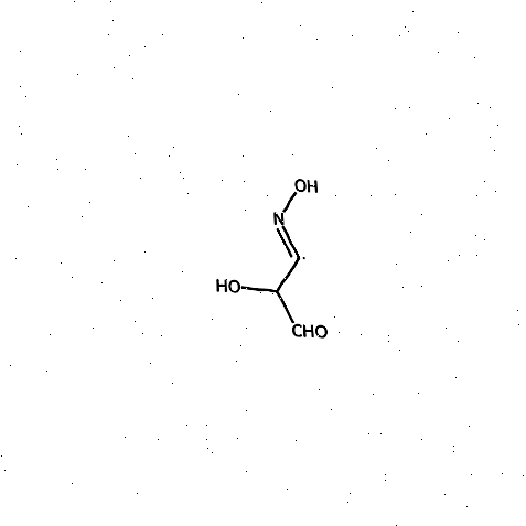 O=CC(O)[C]=NO